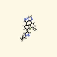 N#CC1CCC(c2nccn3ncc(-c4ccc(-c5cnn(CC6(C#N)CC6)c5)c(F)c4)c23)CC1